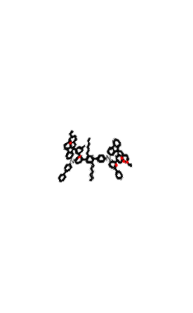 C=Cc1ccc(CC2(c3cc(C)cc(C)c3)c3ccccc3-c3ccc(N(c4ccc(-c5ccccc5)cc4)c4ccc(-c5cc(CCCCCC)c(-c6ccc(N(c7ccc(-c8ccccc8)cc7)c7ccc8c(c7)C(Cc7ccc(C=C)cc7)(c7cc(C)cc(C)c7)c7ccccc7-8)cc6)cc5CCCCCC)cc4)cc32)cc1